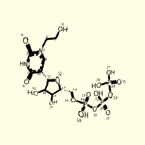 O=c1[nH]c(=O)n(CCO)cc1[C@@H]1O[C@H](COP(=O)(O)OP(=O)(O)OP(=O)(O)O)C(O)C1O